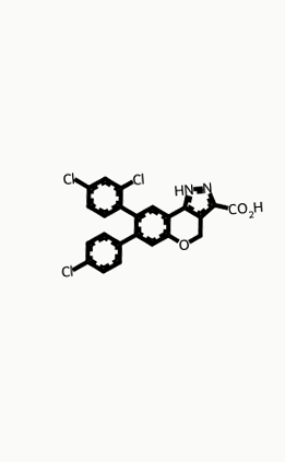 O=C(O)c1n[nH]c2c1COc1cc(-c3ccc(Cl)cc3)c(-c3ccc(Cl)cc3Cl)cc1-2